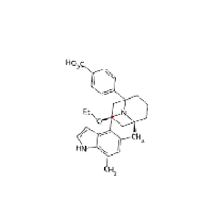 CCO[C@@H]1C[C@H]2CCCC(c3ccc(C(=O)O)cc3)(C1)N2Cc1c(C)cc(C)c2[nH]ccc12